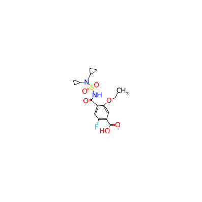 CCOc1cc(C(=O)O)c(F)cc1C(=O)NS(=O)(=O)N(C1CC1)C1CC1